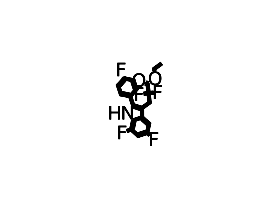 CCOC(=O)C(F)(F)Cc1c(-c2ccc(F)cc2)[nH]c2c(F)cc(F)cc12